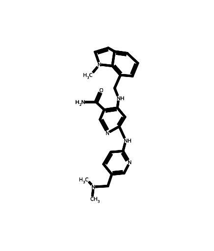 CN(C)Cc1ccc(Nc2cc(NCc3cccc4ccn(C)c34)c(C(N)=O)cn2)nc1